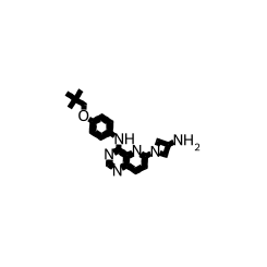 CC(C)(C)COc1ccc(Nc2ncnc3ccc(N4CC(N)C4)nc23)cc1